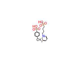 Cc1ccc(S(=O)(=O)O)cc1.O=S(=O)(O)CCCCN1C=CC=CC1